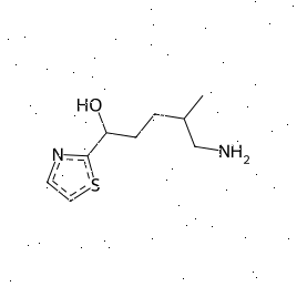 CC(CN)CCC(O)c1nccs1